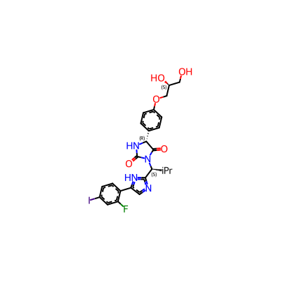 CC(C)[C@@H](c1ncc(-c2ccc(I)cc2F)[nH]1)N1C(=O)N[C@H](c2ccc(OC[C@@H](O)CO)cc2)C1=O